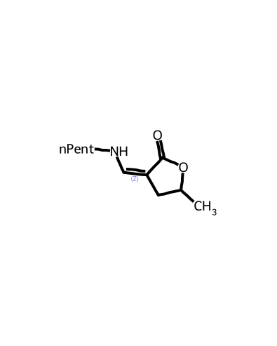 CCCCCN/C=C1/CC(C)OC1=O